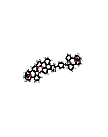 c1ccc(-c2cccc3c2c2c(-c4ccccc4)cccc2n3-c2ccc(-c3cc(-c4cccc(-c5cccnc5)c4)c(-c4ccc(-n5c6cccc(-c7ccccc7)c6c6c(-c7ccccc7)cccc65)cc4)cn3)cc2)cc1